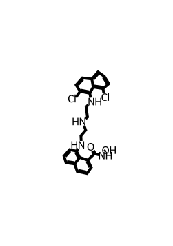 O=C(NO)c1cccc2cccc(NCCNCCNc3c(Cl)ccc4cccc(Cl)c34)c12